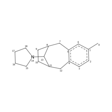 Cc1ccc2c(c1)CC1CCC(C2)C1N1CCCC1